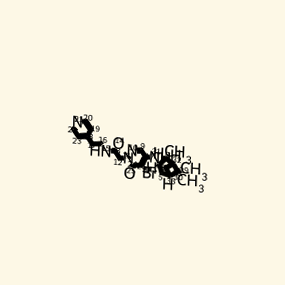 C[C@@H]1[C@H]2C[C@@H](C[C@H]1Nc1cnn(CC(=O)NCCc3ccncc3)c(=O)c1Br)C2(C)C